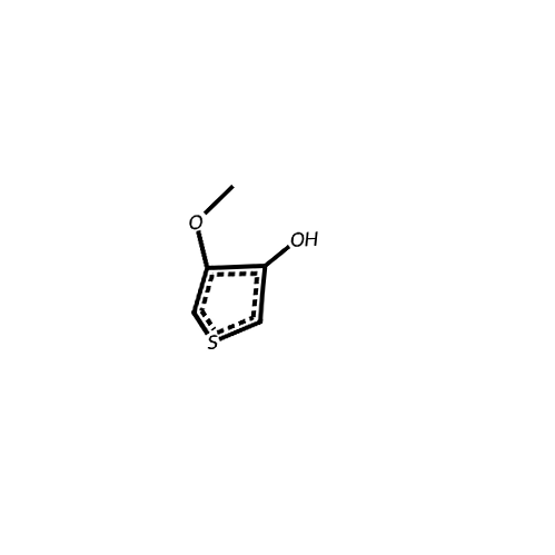 COc1cscc1O